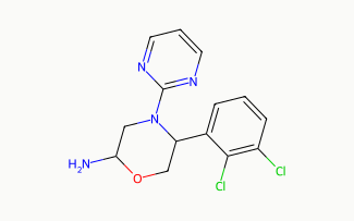 NC1CN(c2ncccn2)C(c2cccc(Cl)c2Cl)CO1